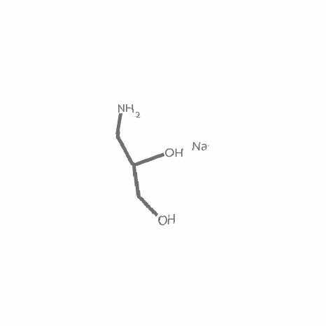 NCC(O)CO.[Na]